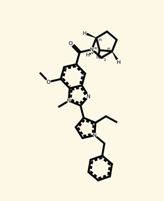 CCc1c(-c2nc3cc(C(=O)N4C[C@H]5CC[C@@H]4[C@@H]5N)cc(OC)c3n2C)ccn1Cc1ccccc1